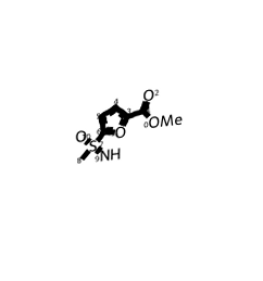 COC(=O)c1ccc(S(C)(=N)=O)o1